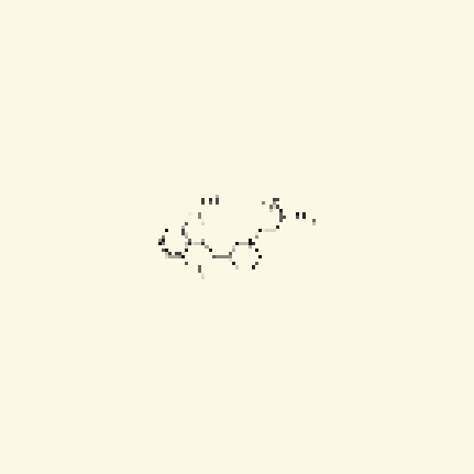 Cc1cccc(C)c1OCC1CCCN(CCN(C)C)C1.Cl